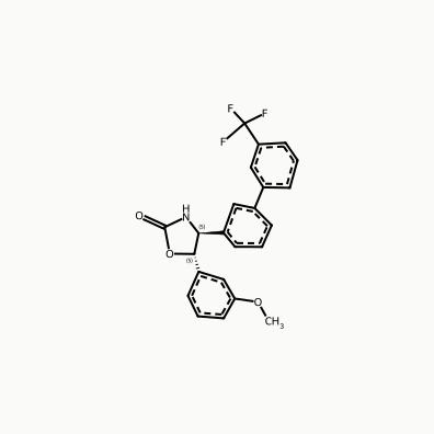 COc1cccc([C@@H]2OC(=O)N[C@H]2c2cccc(-c3cccc(C(F)(F)F)c3)c2)c1